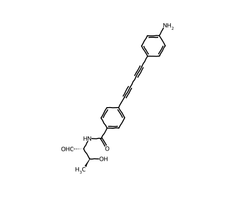 C[C@H](O)[C@H](C=O)NC(=O)c1ccc(C#CC#Cc2ccc(N)cc2)cc1